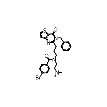 CN(C)CCN(CCCc1nc2ccsc2c(=O)n1Cc1ccccc1)C(=O)c1ccc(Br)cc1